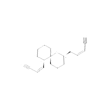 C#C/C=C\C[C@H]1CCC[C@@]2(CCC[C@@H](O)[C@@H]2/C=C\C#C)N1